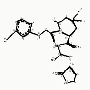 CC[C@H]1CC(F)(F)C[C@@H](C(=O)N[C@H](C#N)C[C@@H]2CCNC2=O)N1C(=O)CNc1cccc(Cl)c1